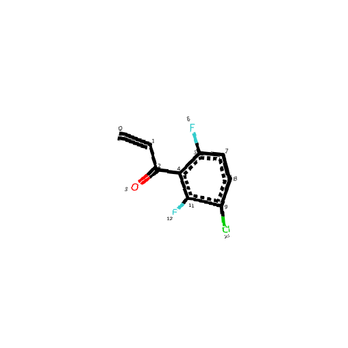 C=CC(=O)c1c(F)ccc(Cl)c1F